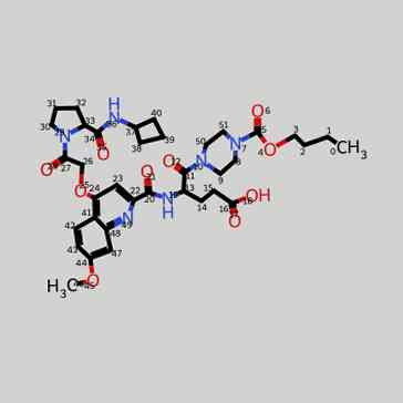 CCCCOC(=O)N1CCN(C(=O)C(CCC(=O)O)NC(=O)c2cc(OCC(=O)N3CCCC3C(=O)NC3CCC3)c3ccc(OC)cc3n2)CC1